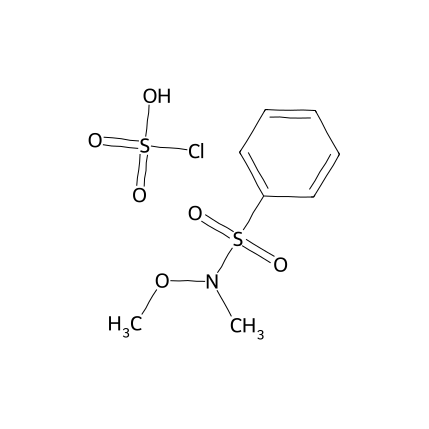 CON(C)S(=O)(=O)c1ccccc1.O=S(=O)(O)Cl